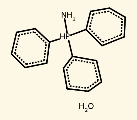 N[PH](c1ccccc1)(c1ccccc1)c1ccccc1.O